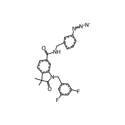 CC1(C)C(=O)N(Cc2cc(F)cc(F)c2)c2cc(C(=O)NCc3cccc(N=[N+]=[N-])c3)ccc21